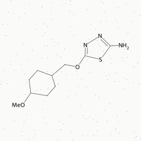 COC1CCC(COc2nnc(N)s2)CC1